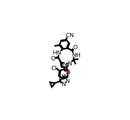 Cc1cc(C#N)cc2c1NC(=O)C1=CC(Cn3nnc(C4CC4)n3)N(N1c1ncccc1Cl)C(C)(C)NC2=O